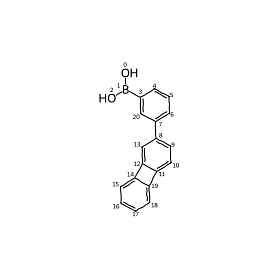 OB(O)c1cccc(-c2ccc3c(c2)-c2ccccc2-3)c1